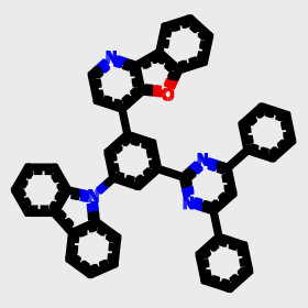 c1ccc(-c2cc(-c3ccccc3)nc(-c3cc(-c4ccnc5c4oc4ccccc45)cc(-n4c5ccccc5c5ccccc54)c3)n2)cc1